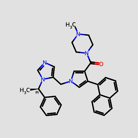 C[C@H](c1ccccc1)n1cncc1Cn1cc(C(=O)N2CCN(C)CC2)c(-c2cccc3ccccc23)c1